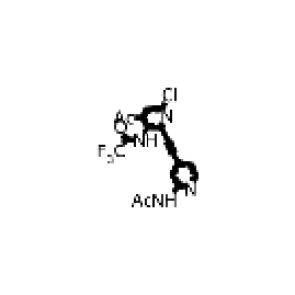 CC(=O)Nc1cc(C#Cc2nc(Cl)cc(C(C)=O)c2NC(=O)C(F)(F)F)ccn1